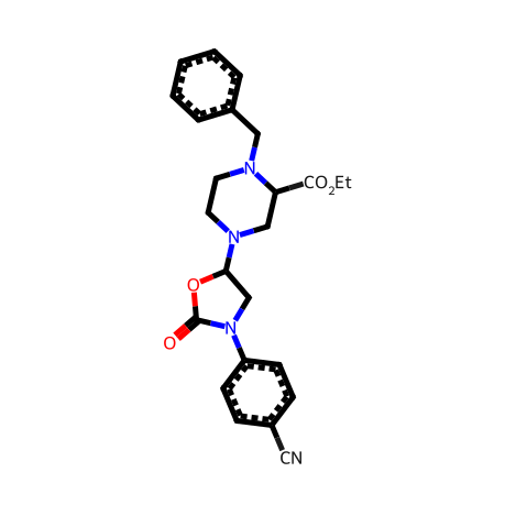 CCOC(=O)C1CN(C2CN(c3ccc(C#N)cc3)C(=O)O2)CCN1Cc1ccccc1